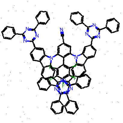 N#Cc1cc(-n2c3cc(-c4nc(-c5ccccc5)nc(-c5ccccc5)n4)ccc3c3ccc(-c4nc(-c5ccccc5)nc(-c5ccccc5)n4)cc32)c(-c2c(F)c(F)c(F)c(F)c2F)c(-n2c3cc(-c4nc(-c5ccccc5)nc(-c5ccccc5)n4)ccc3c3ccc(-c4nc(-c5ccccc5)nc(-c5ccccc5)n4)cc32)c1